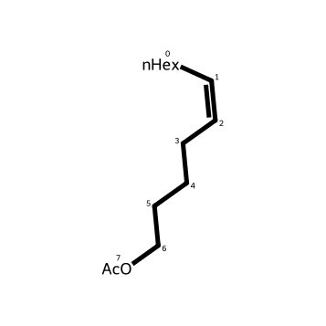 CCCCCC/C=C\CCCCOC(C)=O